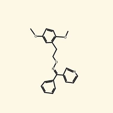 COc1ccc(OC)c(CCON=C(c2ccccc2)c2cccnc2)c1